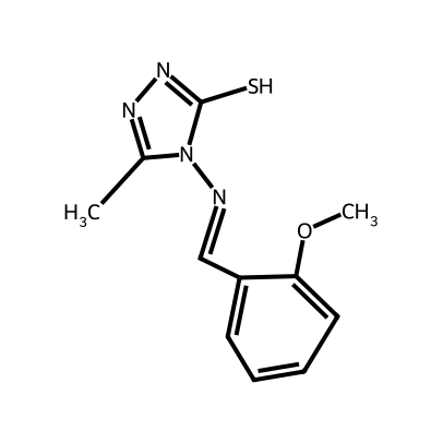 COc1ccccc1C=Nn1c(C)nnc1S